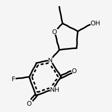 CC1OC(n2cc(F)c(=O)[nH]c2=O)CC1O